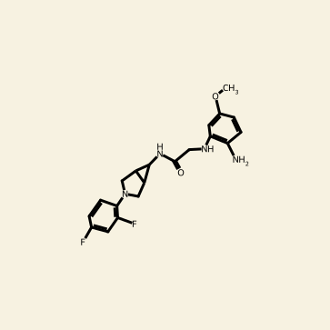 COc1ccc(N)c(NCC(=O)NC2C3CN(c4ccc(F)cc4F)CC32)c1